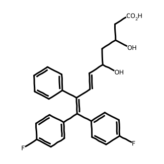 O=C(O)CC(O)CC(O)/C=C/C(=C(c1ccc(F)cc1)c1ccc(F)cc1)c1ccccc1